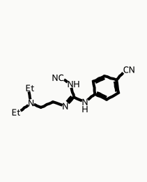 CCN(CC)CCN=C(NC#N)Nc1ccc(C#N)cc1